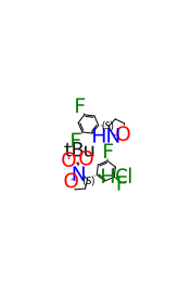 CC(C)(C)OC(=O)N1OCC[C@H]1c1cc(F)cc(F)c1.Cl.Fc1cc(F)cc([C@@H]2CCON2)c1